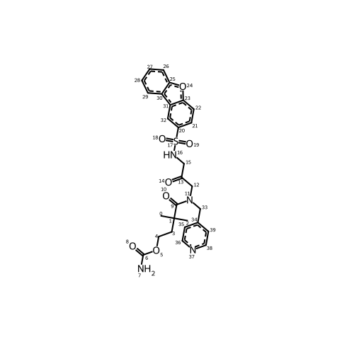 CC(C)(CCOC(N)=O)C(=O)N(CC(=O)CNS(=O)(=O)c1ccc2oc3ccccc3c2c1)Cc1ccncc1